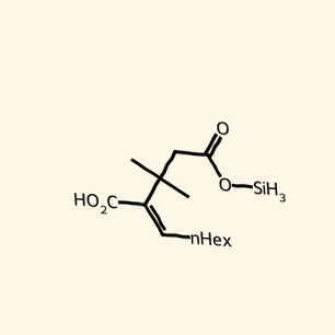 CCCCCCC=C(C(=O)O)C(C)(C)CC(=O)O[SiH3]